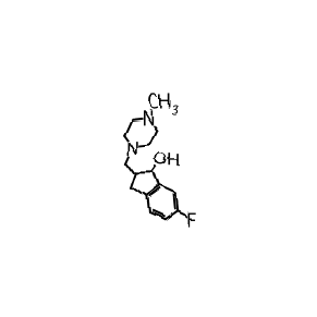 CN1CCN(CC2Cc3ccc(F)cc3C2O)CC1